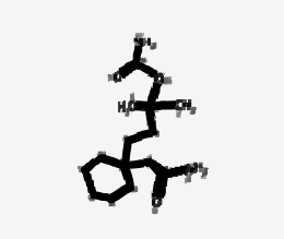 CC(C)(CCC1(CC(N)=O)CCCCC1)OC(N)=O